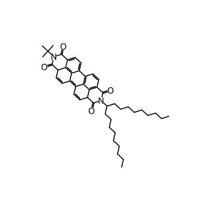 CCCCCCCCCC(CCCCCCCCC)N1C(=O)c2ccc3c4c(c5c6c7c(ccc63)C(=O)N(C(C)(C)C)C(=O)C7C=C5)C=CC(C1=O)c24